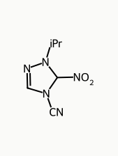 CC(C)N1N=CN(C#N)C1[N+](=O)[O-]